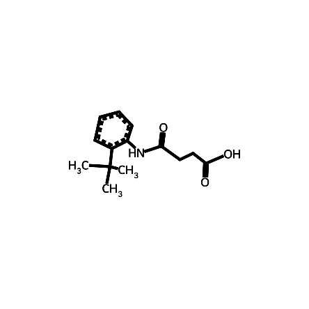 CC(C)(C)c1ccccc1NC(=O)CCC(=O)O